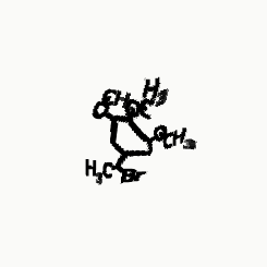 COc1cc(C(C)Br)cc(OC)c1OC